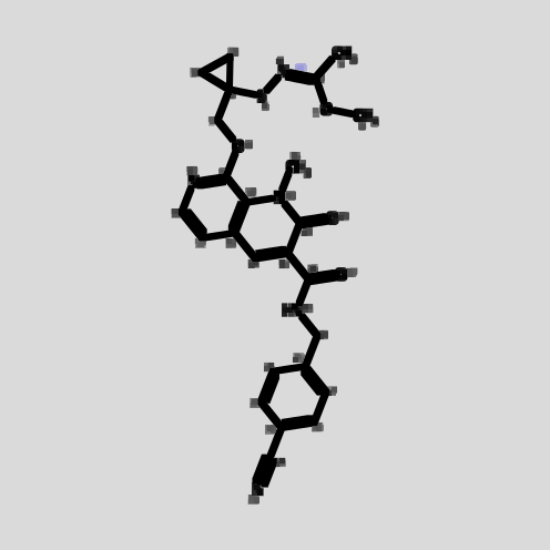 CO/C(C)=N\SC1(COc2nccc3cc(C(=O)NCc4ccc(C#N)cc4)c(=O)n(C)c23)CC1